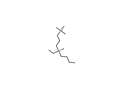 CCCC[N+](C)(CC)CCC[N+](C)(C)C